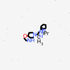 CC(CNC1C2CCC1N(C(C)C)C2)N1CCC2OCCNC2C1